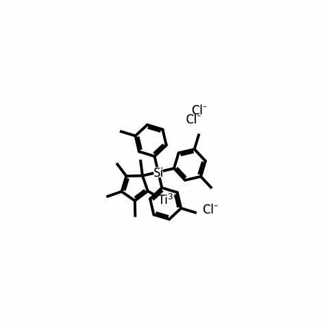 CC1=C(C)C(C)([Si](c2cccc(C)c2)(c2cccc(C)c2)c2cc(C)cc(C)c2)[C]([Ti+3])=C1C.[Cl-].[Cl-].[Cl-]